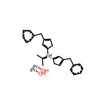 CC(C)O.CC(C)O.C[C](C)=[Hf]([C]1=CC(Cc2ccccc2)=CC1)[C]1=CC(Cc2ccccc2)=CC1